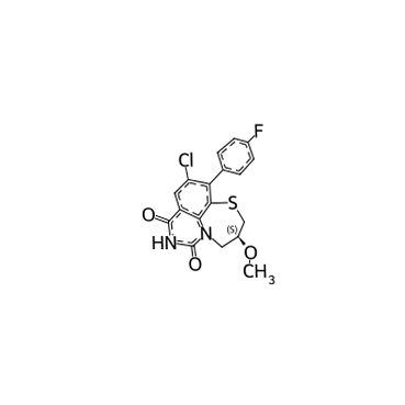 CO[C@@H]1CSc2c(-c3ccc(F)cc3)c(Cl)cc3c(=O)[nH]c(=O)n(c23)C1